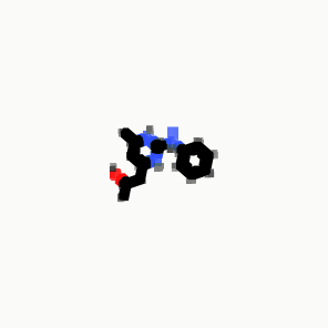 CC(=O)Cc1cc(C)nc(Nc2ccccc2)n1